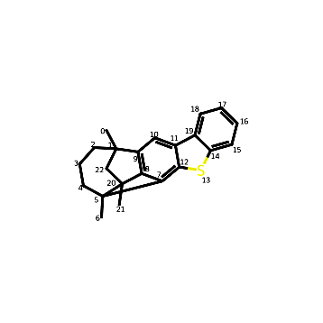 CC12CCCC3(C)c4c(c1cc1c4sc4ccccc41)C3(C)C2